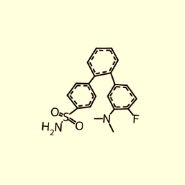 CN(C)c1cc(-c2ccccc2-c2ccc(S(N)(=O)=O)cc2)ccc1F